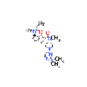 CC(C)CC(=O)N(C(C)C)[C@@H]1CCc2ccc(C(=O)N(C)C3CCN(c4ccnc(N(C)C)n4)CC3)cc21